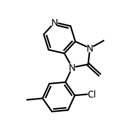 C=C1N(C)c2cnccc2N1c1cc(C)ccc1Cl